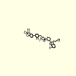 COCCCn1c(C2CCCN(C(=O)CC(N)Cc3ccc(-c4ccc5oc(=O)[nH]c5c4)cc3)C2)nc2c(F)cccc21